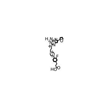 CN(CCN1CCN(c2ccc(CCC(=O)O)cc2F)CC1)c1nc(N)n2nc(-c3ccco3)cc2n1